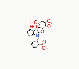 COC(=O)c1ccccc1CN1C(=O)C(O)(c2cc3c(cc2O)OCO3)c2ccccc21